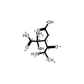 CC(N)C(=O)C(CC(=O)O)C(N)(N)C(=O)O